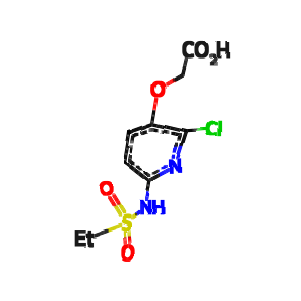 CCS(=O)(=O)Nc1ccc(OCC(=O)O)c(Cl)n1